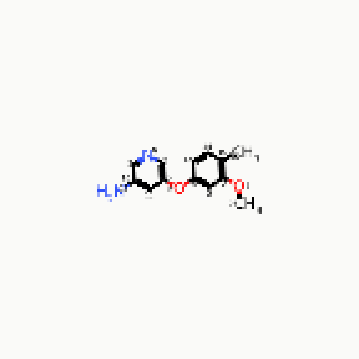 COc1cc(Oc2cncc(N)c2)ccc1C